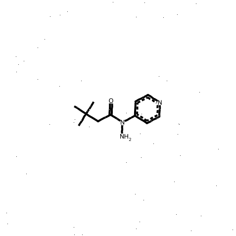 CC(C)(C)CC(=O)N(N)c1ccncc1